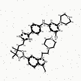 Cc1nn(CCN2CCOCC2)c2cc(B3OC(C)(C)C(C)(CCc4nnc(-c5ccc(Nc6cc(Cl)nc(N7CCOCC7)n6)cc5)[nH]4)O3)ccc12